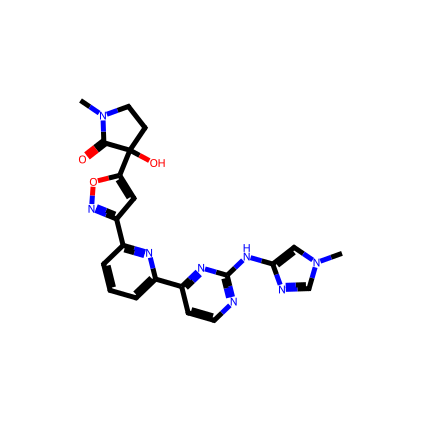 CN1CCC(O)(c2cc(-c3cccc(-c4ccnc(Nc5cn(C)cn5)n4)n3)no2)C1=O